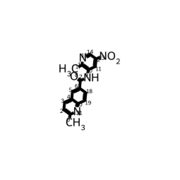 Cc1ccc2cc(C(=O)Nc3cc([N+](=O)[O-])cnc3C)ccc2n1